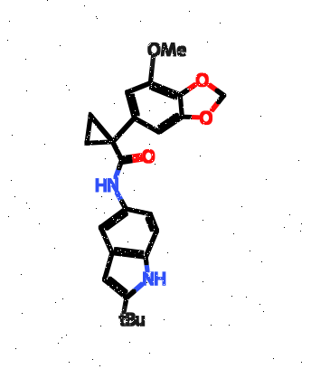 COc1cc(C2(C(=O)Nc3ccc4[nH]c(C(C)(C)C)cc4c3)CC2)cc2c1OCO2